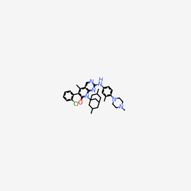 Cc1cc(Nc2ncc3c(C)c(-c4ccccc4Cl)c(=O)n(C45CC(C)CC(CC(C)C4)C5)c3n2)ccc1N1CCN(C)CC1